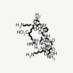 C[C@H](NC(=O)[C@@H](NC(=O)[C@@H](N)CCCCN)[C@@H](O)CN)C(=O)NCC(=O)N[C@H](CCCN)C(=O)N1CCC[C@H]1C(=O)N[C@@H](CC(N)=O)C(=O)N[C@@H](CCCCN)C(=O)CC/C(=C\CCNC(=N)N)C(=O)O